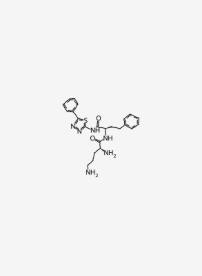 NCCC[C@H](N)C(=O)N[C@H](CCc1ccccc1)C(=O)Nc1nnc(-c2ccccc2)s1